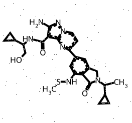 CSNc1cc(-c2ccn3nc(N)c(C(=O)NC(CO)C4CC4)c3n2)cc2c1C(=O)N(C(C)C1CC1)C2